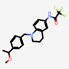 COC(C)c1ccc(CN2CCCc3cc(NC(=O)C(F)(F)F)ccc32)cc1